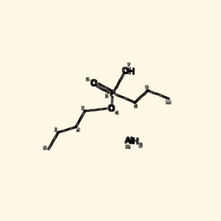 CCCCOP(=O)(O)CCC.[AlH3]